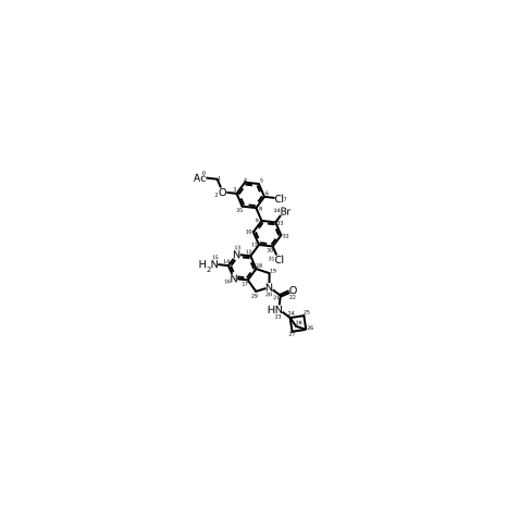 CC(=O)COc1ccc(Cl)c(-c2cc(-c3nc(N)nc4c3CN(C(=O)NC35CC(C3)C5)C4)c(Cl)cc2Br)c1